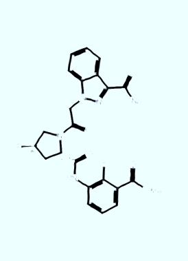 COC(=O)c1cccc(NC(=O)[C@@H]2C[C@@H](F)CN2C(=O)Cn2nc(C(N)=O)c3ccccc32)c1F